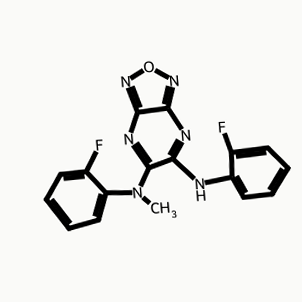 CN(c1ccccc1F)c1nc2nonc2nc1Nc1ccccc1F